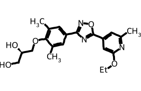 CCOc1cc(-c2nc(-c3cc(C)c(OC[C@H](O)CO)c(C)c3)no2)cc(C)n1